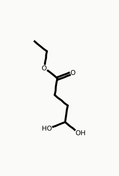 CCOC(=O)CCC(O)O